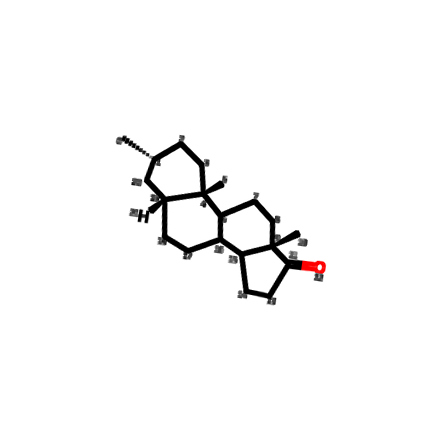 C[C@@H]1CC[C@]2(C)C3CC[C@]4(C)C(=O)CCC4C3CC[C@@H]2C1